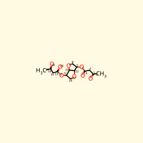 CC(=O)CC(=O)OC1COC2C(OC(=O)CC(C)=O)COC12